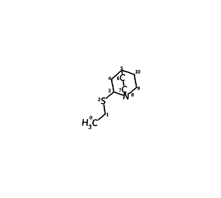 CCSC1CC2CCN1CC2